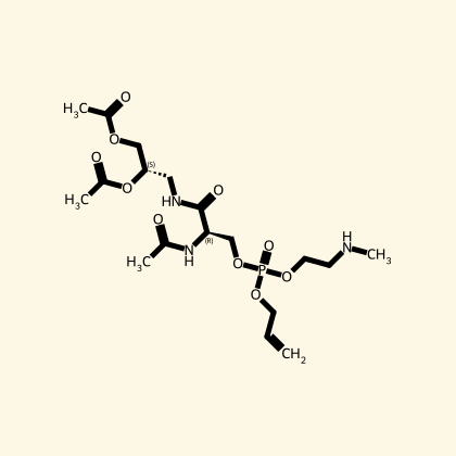 C=CCOP(=O)(OCCNC)OC[C@@H](NC(C)=O)C(=O)NC[C@@H](COC(C)=O)OC(C)=O